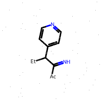 [CH2]C(=O)C(=N)C(CC)c1ccncc1